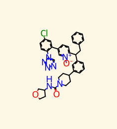 O=C(NC1CCOC1)N1CCC(c2cccc(C(Cc3ccccc3)c3ccc(-c4cc(Cl)ccc4-n4cnnn4)c[n+]3[O-])c2)CC1